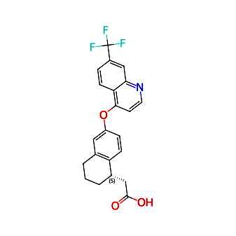 O=C(O)C[C@@H]1CCCc2cc(Oc3ccnc4cc(C(F)(F)F)ccc34)ccc21